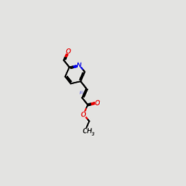 CCOC(=O)/C=C/c1ccc(C=O)nc1